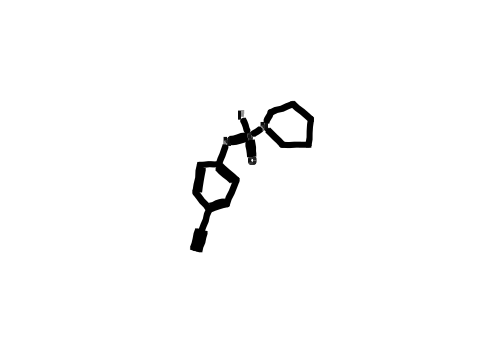 C#Cc1ccc(N=S(=O)(F)N2CCCCC2)cc1